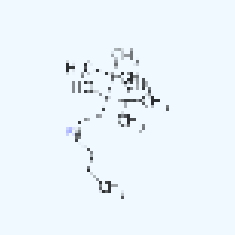 CCC/C=C\CC(O)(C(C)(C)C)C(C)(C)C